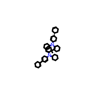 CC1(C2=C(N(C3C=CCCC3)C3C=C[C@@H](C4CC=CCC4)CC3)CCCC2)CCCC=C1N(C1C=CC(C2=CCCCC2)=CC1)C1CCCCC1